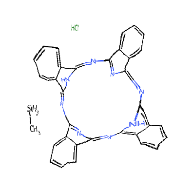 C[SiH3].Cl.c1ccc2c(c1)-c1nc-2nc2[nH]c(nc3nc(nc4[nH]c(n1)c1ccccc41)-c1ccccc1-3)c1ccccc21